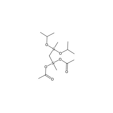 CC(=O)O[Si](C)(C[Si](C)(OC(C)C)OC(C)C)OC(C)=O